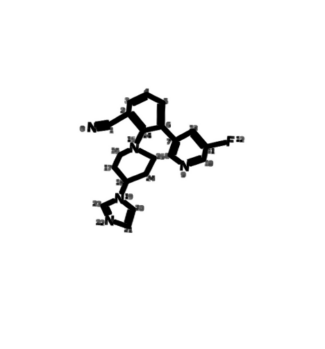 N#Cc1cccc(-c2cncc(F)c2)c1N1CCC(n2ccnc2)CC1